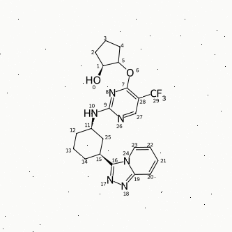 O[C@H]1CCCC1Oc1nc(N[C@@H]2CCC[C@H](c3nnc4ccccn34)C2)ncc1C(F)(F)F